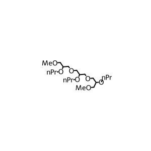 CCCOC(COC)COCC(COCC(COC)OCCC)OCCC